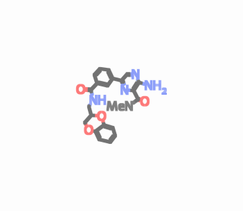 CNC(=O)c1nc(-c2cccc(C(=O)NCC3COc4ccccc4O3)c2)cnc1N